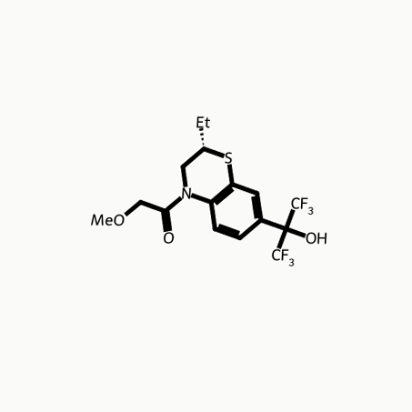 CC[C@H]1CN(C(=O)COC)c2ccc(C(O)(C(F)(F)F)C(F)(F)F)cc2S1